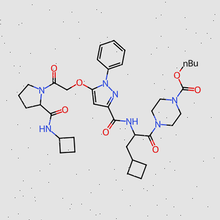 CCCCOC(=O)N1CCN(C(=O)C(CC2CCC2)NC(=O)c2cc(OCC(=O)N3CCCC3C(=O)NC3CCC3)n(-c3ccccc3)n2)CC1